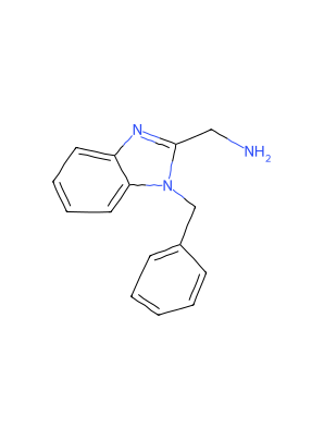 NCc1nc2ccccc2n1Cc1ccccc1